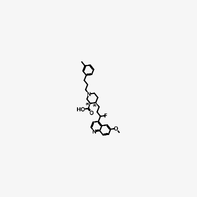 COc1ccc2nccc(C(F)CC[C@@H]3CCN(CCCc4cccc(C)c4)C[C@@H]3C(=O)O)c2c1